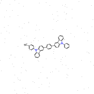 N#Cc1ccc(-n2c3ccccc3c3cc(-c4ccc(-c5ccc6c(c5)c5ccccc5n6-c5ccccc5)cc4)ccc32)cc1